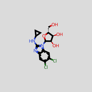 OC[C@H]1OC(n2c(NC3CC3)nc3cc(Cl)c(Cl)cc32)[C@H](O)[C@@H]1O